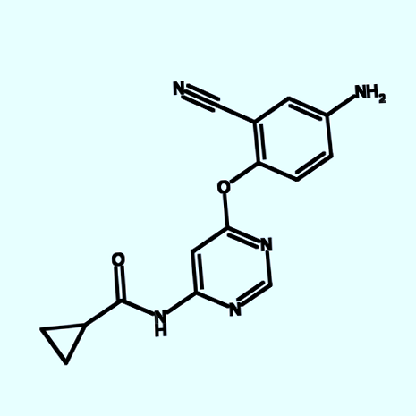 N#Cc1cc(N)ccc1Oc1cc(NC(=O)C2CC2)ncn1